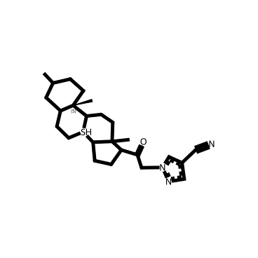 CC1CC[C@@]2(C)C(CC[SH]3C4CCC(C(=O)Cn5cc(C#N)cn5)C4(C)CCC32)C1